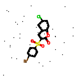 O=c1oc2ccc(Cl)cc2cc1S(=O)(=O)c1ccc(Br)cc1